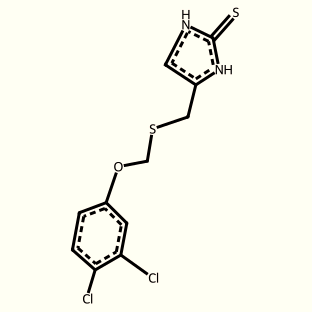 S=c1[nH]cc(CSCOc2ccc(Cl)c(Cl)c2)[nH]1